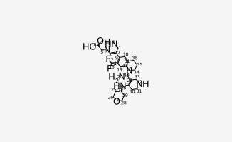 N=C/C(=C\NCC(=O)O)c1cc2c(cc1C(F)F)N(C(N)C1=C(NC3CCOCC3)CCNC1)CCC2